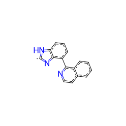 [c]1nc2c(-c3nccc4ccccc34)cccc2[nH]1